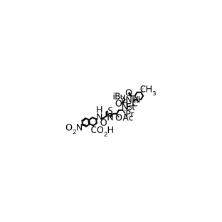 CC[C@H](C)[C@H](NC(=O)[C@H]1C[C@H](C)CCN1C)C(=O)N(CC)[C@H](C[C@@H](OC(C)=O)c1nc(C(=O)N[C@H]2Cc3ccc([N+](=O)[O-])cc3[C@H](C(=O)O)C2)cs1)C(C)C